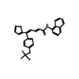 O=C(/C=C/C=C(\c1ccc(OC(F)(F)F)cc1)c1ccco1)Nc1cccc2cnccc12